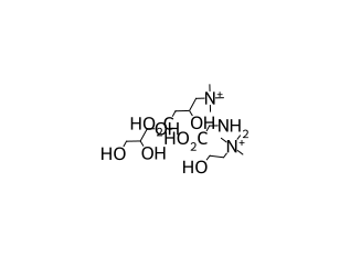 C[N+](C)(C)CC(O)CC(=O)O.C[N+](C)(C)CCO.NCC(=O)O.OCC(O)CO